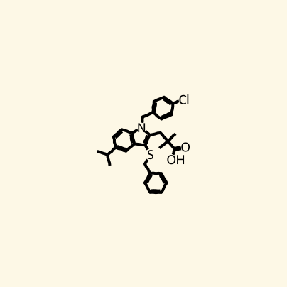 CC(C)c1ccc2c(c1)c(SCc1ccccc1)c(CC(C)(C)C(=O)O)n2Cc1ccc(Cl)cc1